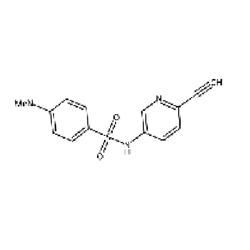 C#Cc1ccc(NS(=O)(=O)c2ccc(NC)cc2)cn1